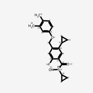 Cc1ccc(OCc2cc(F)c(C(=O)[SH](N=O)C3CC3)cc2C2CC2)cc1C